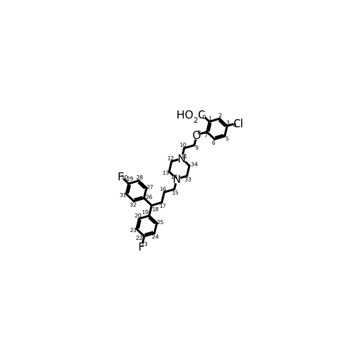 O=C(O)c1cc(Cl)ccc1OCCN1CCN(CCCC(c2ccc(F)cc2)c2ccc(F)cc2)CC1